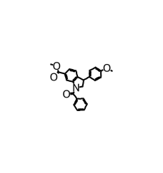 COC(=O)c1ccc2c(c1)N(C(=O)c1ccccc1)CC2c1ccc(OC)cc1